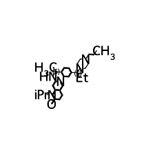 CC=CN1CCN([C@@H](CC)c2ccc([C@H](C)Nc3cc4c(ccc(=O)n4C(C)C)cn3)cc2)CC1